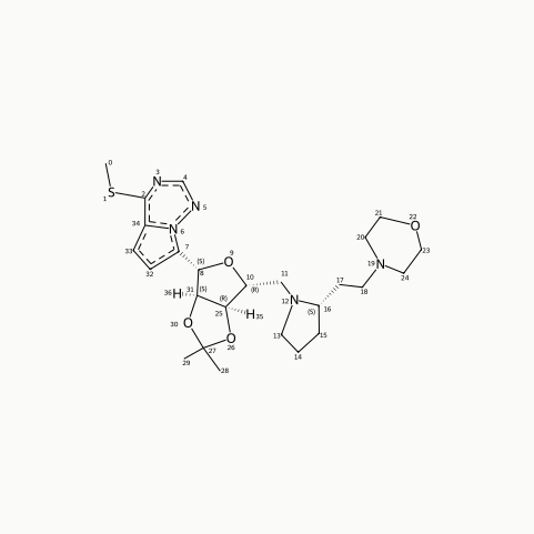 CSc1ncnn2c([C@@H]3O[C@H](CN4CCC[C@H]4CCN4CCOCC4)[C@H]4OC(C)(C)O[C@H]43)ccc12